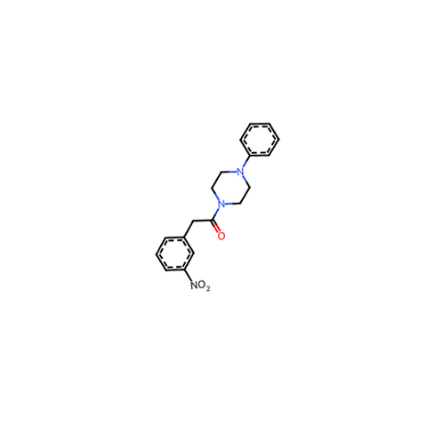 O=C(Cc1cccc([N+](=O)[O-])c1)N1CCN(c2ccccc2)CC1